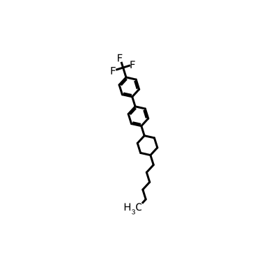 CCCCCCC1CCC(c2ccc(-c3ccc(C(F)(F)F)cc3)cc2)CC1